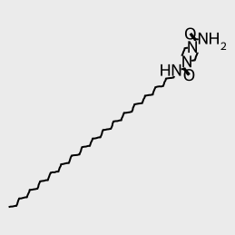 CCCCCCCCCCCCCCCCCCCCCCCCCCCCCCCCNC(=O)N1CCN(C(N)=O)CC1